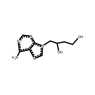 Nc1ncnc2c1ncn2CC(O)CCO